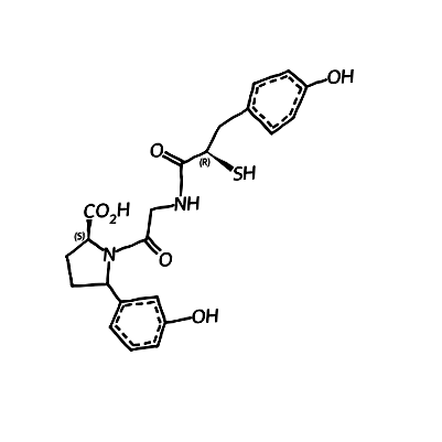 O=C(NCC(=O)N1C(c2cccc(O)c2)CC[C@H]1C(=O)O)[C@H](S)Cc1ccc(O)cc1